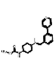 CC(C)(C)OC(=O)N[C@H]1CC[C@@H](NCc2cccc(-c3ccncc3)c2)CC1